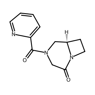 O=C(c1ccccn1)N1CC(=O)N2CC[C@@H]2C1